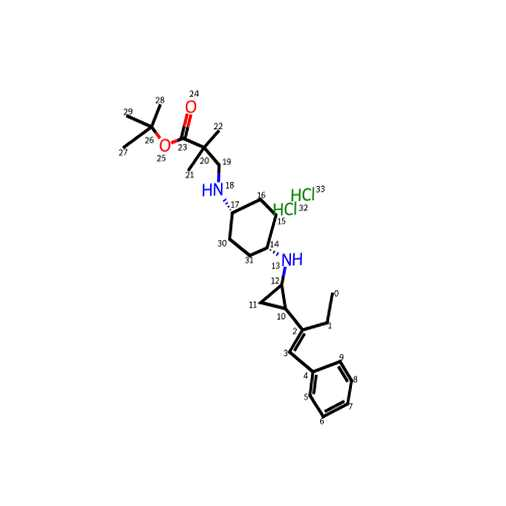 CC/C(=C\c1ccccc1)C1CC1N[C@H]1CC[C@@H](NCC(C)(C)C(=O)OC(C)(C)C)CC1.Cl.Cl